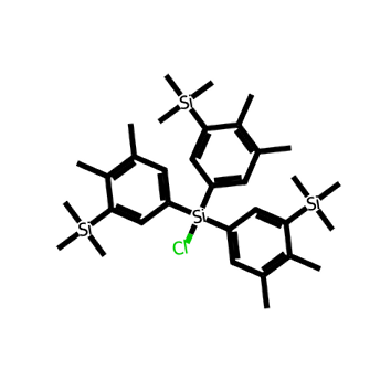 Cc1cc([Si](Cl)(c2cc(C)c(C)c([Si](C)(C)C)c2)c2cc(C)c(C)c([Si](C)(C)C)c2)cc([Si](C)(C)C)c1C